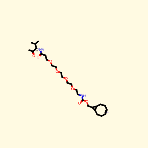 CC(=O)[C@@H](NC(=O)CCOCCOCCOCCOCCNC(=O)OCC1C2CC/C=C\CCC21)C(C)C